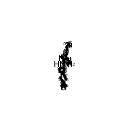 C[Si](C)(C)CCOCn1cnc2c(Nc3ccc(N4CCN(C5COC5)CC4)cc3)nc(I)nc21